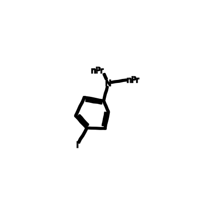 CCCN(CCC)c1ccc(I)cc1